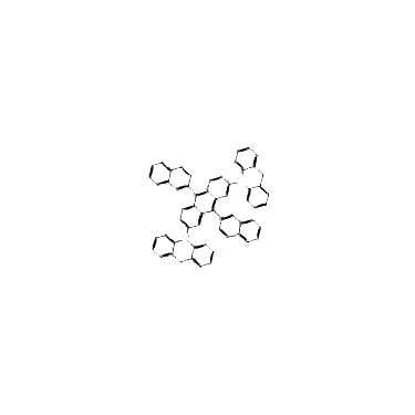 c1ccc2c(c1)Cc1ccccc1N2c1ccc2c(-c3ccc4ccccc4c3)c3ccc(N4c5ccccc5Cc5ccccc54)cc3c(-c3ccc4ccccc4c3)c2c1